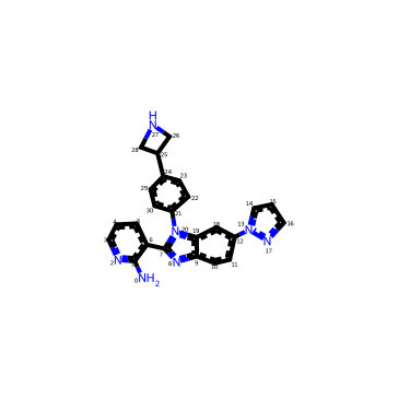 Nc1ncccc1-c1nc2ccc(-n3cccn3)cc2n1-c1ccc(C2CNC2)cc1